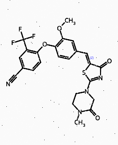 COc1cc(/C=C2\SC(N3CCN(C)C(=O)C3)=NC2=O)ccc1Oc1ccc(C#N)cc1C(F)(F)F